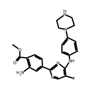 COC(=O)c1ccc(-c2ncc(F)c(Nc3ccc(N4CCNCC4)cc3)n2)cc1N